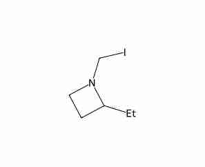 CCC1CCN1CI